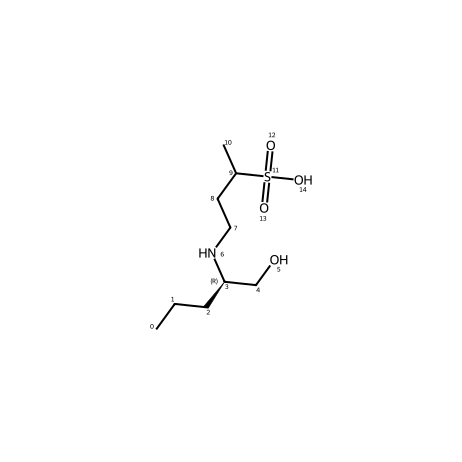 CCC[C@H](CO)NCCC(C)S(=O)(=O)O